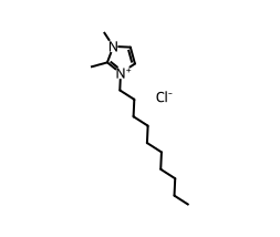 CCCCCCCCCC[n+]1ccn(C)c1C.[Cl-]